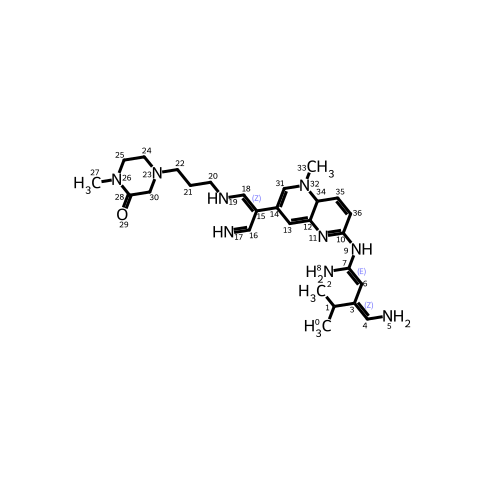 CC(C)C(=C/N)/C=C(\N)NC1=NC2=CC(/C(C=N)=C/NCCCN3CCN(C)C(=O)C3)=CN(C)C2C=C1